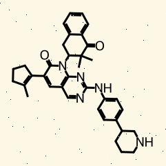 CC1=C(c2cc3cnc(Nc4ccc(C5CCCNC5)cc4)nc3n(C3Cc4ccccc4C(=O)C3(C)C)c2=O)CCC1